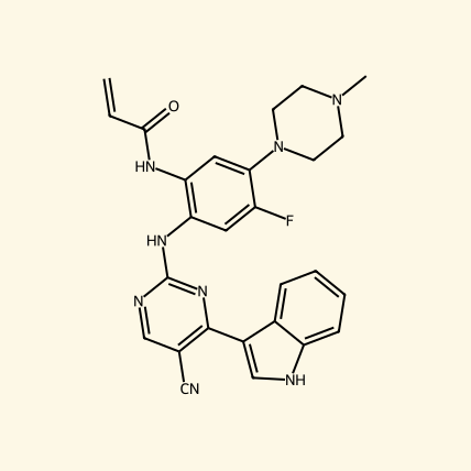 C=CC(=O)Nc1cc(N2CCN(C)CC2)c(F)cc1Nc1ncc(C#N)c(-c2c[nH]c3ccccc23)n1